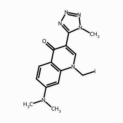 CN(C)c1ccc2c(=O)c(-c3nnnn3C)cn(CI)c2c1